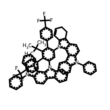 CC(C)(C)c1c(-c2ccc(C(F)(F)F)cc2)c(-n2c3c(c4ccc5c(c6ccccc6n5-c5ccccc5)c42)CCC=C3)cc(-n2c3ccccc3c3ccc4c(c5ccccc5n4-c4ccccc4)c32)c1-c1ccc(C(F)(F)F)cc1